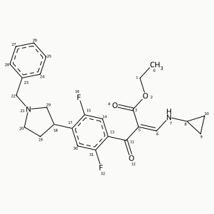 CCOC(=O)C(=CNC1CC1)C(=O)c1cc(F)c(C2CCN(Cc3ccccc3)C2)cc1F